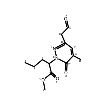 CCCC(C(=O)OC)n1nc(CC=O)cc(C)c1=O